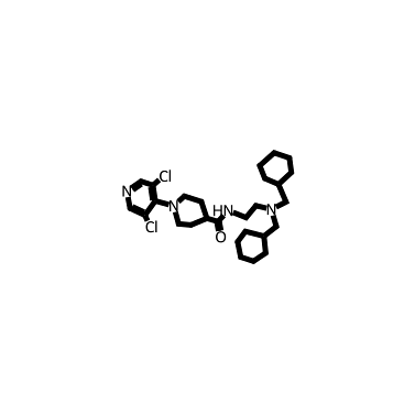 O=C(NCCN(CC1CCCCC1)CC1CCCCC1)C1CCN(c2c(Cl)cncc2Cl)CC1